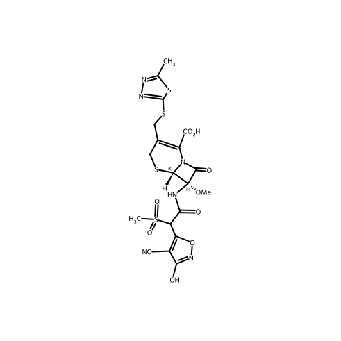 CO[C@@]1(NC(=O)C(c2onc(O)c2C#N)S(C)(=O)=O)C(=O)N2C(C(=O)O)=C(CSc3nnc(C)s3)CS[C@H]21